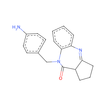 Nc1ccc(CN2C(=O)C3CCCC3=Nc3ccccc32)cc1